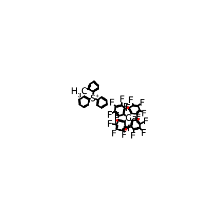 Cc1ccccc1[S+](c1ccccc1)c1ccccc1.Fc1c(F)c(F)[c]([Ga-]([c]2c(F)c(F)c(F)c(F)c2F)([c]2c(F)c(F)c(F)c(F)c2F)[c]2c(F)c(F)c(F)c(F)c2F)c(F)c1F